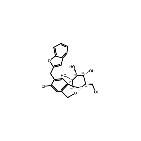 OC[C@H]1S[C@]2(OCc3cc(Cl)c(Cc4cc5ccccc5o4)cc32)[C@H](O)[C@@H](O)[C@@H]1O